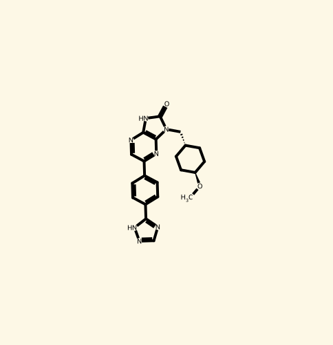 CO[C@H]1CC[C@H](Cn2c(=O)[nH]c3ncc(-c4ccc(-c5ncn[nH]5)cc4)nc32)CC1